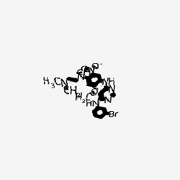 COc1cc(N(C)CCN(C)C)c([N+](=O)[O-])cc1Nc1cc(Nc2cccc(Br)c2)ncn1